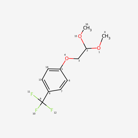 COC(COc1ccc(C(F)(F)F)cc1)OC